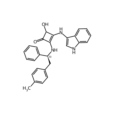 Cc1ccc(C[C@H](NC2=C(Nc3c[nH]c4ccccc34)C(O)C2=O)c2ccccc2)cc1